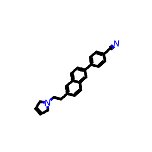 N#Cc1ccc(-c2ccc3cc(CCN4CC=CC4)ccc3c2)cc1